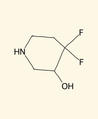 OC1CNCCC1(F)F